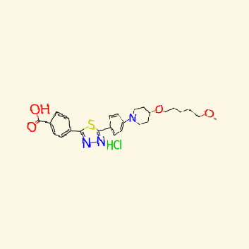 COCCCCCOC1CCN(c2ccc(-c3nnc(-c4ccc(C(=O)O)cc4)s3)cc2)CC1.Cl